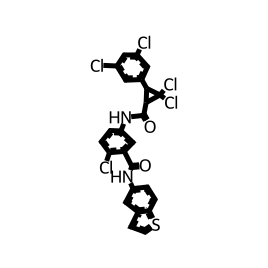 O=C(Nc1ccc2sccc2c1)c1cc(NC(=O)C2C(c3cc(Cl)cc(Cl)c3)C2(Cl)Cl)ccc1Cl